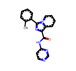 N#Cc1ccccc1-c1nc(C(=O)Nc2ccncn2)c2ccccn12